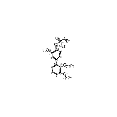 CCCOc1cccc(-c2ccc(OP(=O)(CC)OCC)c(O)c2)c1OCCC